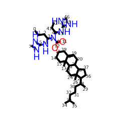 CCCC(NC1NCN1)N(C(=O)OC1CCC2(C)C(=CCC3C2CCC2(C)C(C(C)CCCC(C)C)CCC32)C1)C(CC)NC1NCN1